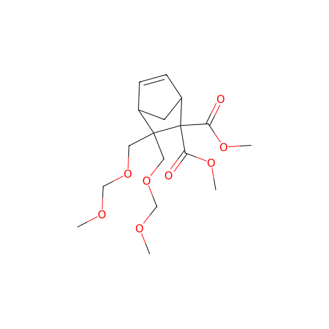 COCOCC1(COCOC)C2C=CC(C2)C1(C(=O)OC)C(=O)OC